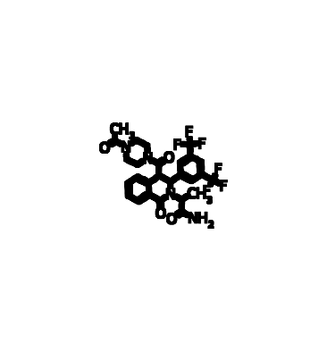 CC(=O)N1CCN(C(=O)C2c3ccccc3C(=O)N(C(C)C(N)=O)C2c2cc(C(F)(F)F)cc(C(F)(F)F)c2)CC1